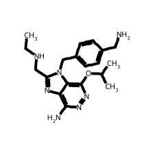 CCNCc1nc2c(N)nnc(OC(C)C)c2n1Cc1ccc(CN)cc1